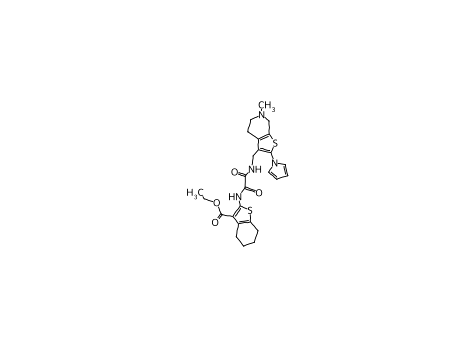 CCOC(=O)c1c(NC(=O)C(=O)NCc2c(-n3cccc3)sc3c2CCN(C)C3)sc2c1CCCC2